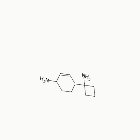 NC1C=CC(C2(N)CCC2)CC1